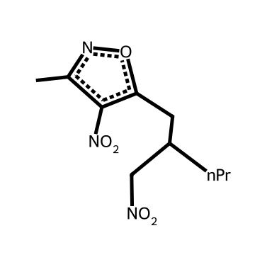 CCCC(Cc1onc(C)c1[N+](=O)[O-])C[N+](=O)[O-]